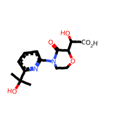 CC(C)(O)c1cccc(N2CCOC(C(O)C(=O)O)C2=O)n1